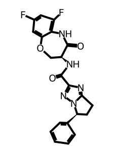 O=C(N[C@H]1COc2cc(F)cc(F)c2NC1=O)c1nc2n(n1)[C@H](c1ccccc1)CC2